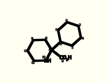 O=C(O)C1(C2CCCCC2)CCCCN1